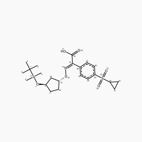 CC(C)(C)[Si](C)(C)O[C@@H]1CC[C@@H](O/N=C(/C(=O)O)c2ccc(S(=O)(=O)C3CC3)cc2)C1